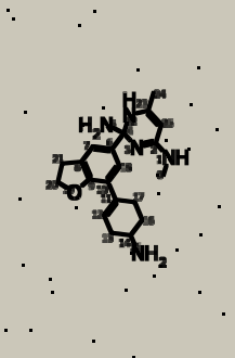 CNC1=NC(N)(c2cc3c(c(C4=CCC(N)CC4)c2)OCC3)NC(C)=C1